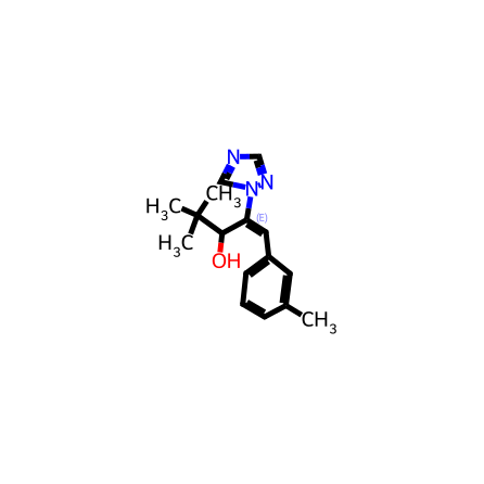 Cc1cccc(/C=C(\C(O)C(C)(C)C)n2cncn2)c1